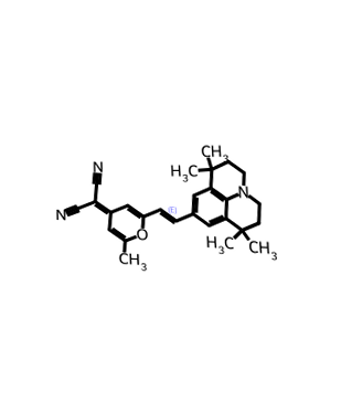 CC1=CC(=C(C#N)C#N)C=C(/C=C/c2cc3c4c(c2)C(C)(C)CCN4CCC3(C)C)O1